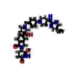 CC(C)c1cnc(NC2CCN(c3ccc(CN4CC[C@@](O)(c5ccc6c(c5)CN(C5CCC(=O)NC5=O)C6=O)C4)cc3)CC2)nc1